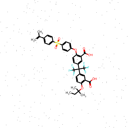 C=C(C)c1ccc(S(=O)(=O)c2ccc(Oc3ccc(C(c4ccc(OC(C)(C)CC)c(C(=O)O)c4)(C(F)(F)F)C(F)(F)F)cc3C(=O)O)cc2)cc1